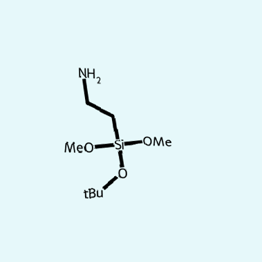 CO[Si](CCN)(OC)OC(C)(C)C